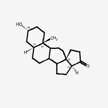 C[C@]12CC[C@@H](O)C[C@@H]1CCC1C3CC[C@@H]4C(=O)CC[C@]34CCC12